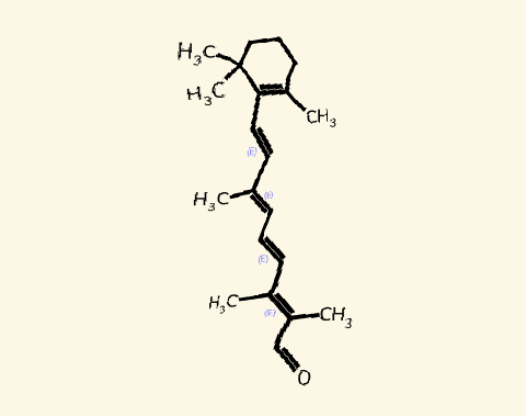 CC1=C(/C=C/C(C)=C/C=C/C(C)=C(\C)C=O)C(C)(C)CCC1